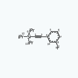 CC(C)[Si](C#Cc1c[c]cc(F)c1)(C(C)C)C(C)C